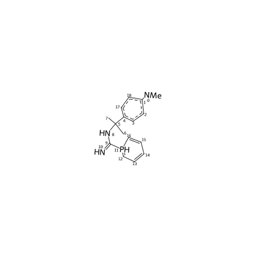 CNc1ccc(C(C)(C)NC(=N)[PH]2=CC=CC=C2)cc1